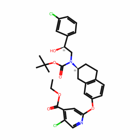 CCOC(=O)c1cc(Oc2ccc3c(c2)C[C@@H](N(C[C@@H](O)c2cccc(Cl)c2)C(=O)OC(C)(C)C)CC3)ncc1Cl